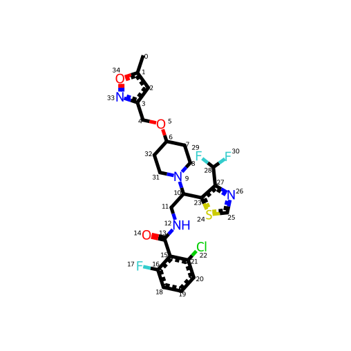 Cc1cc(COC2CCN(C(CNC(=O)c3c(F)cccc3Cl)c3scnc3C(F)F)CC2)no1